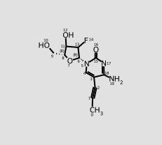 CC#Cc1cn([C@@H]2O[C@H](CO)C(O)C2F)c(=O)nc1N